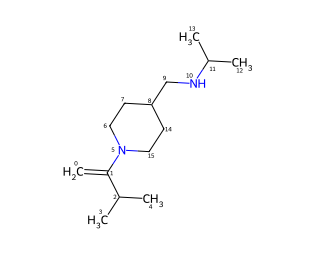 C=C(C(C)C)N1CCC(CNC(C)C)CC1